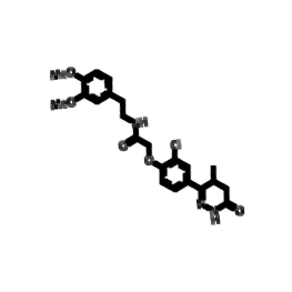 COc1ccc(CCNC(=O)COc2ccc(C3=NNC(=O)CC3C)cc2Cl)cc1OC